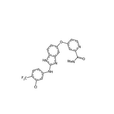 CNC(=O)c1cc(Oc2ccc3[nH]c(Nc4ccc(C(F)(F)F)c(Cl)c4)nc3c2)ccn1